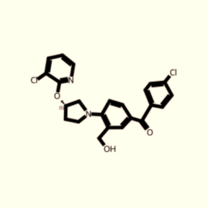 O=C(c1ccc(Cl)cc1)c1ccc(N2CC[C@H](Oc3ncccc3Cl)C2)c(CO)c1